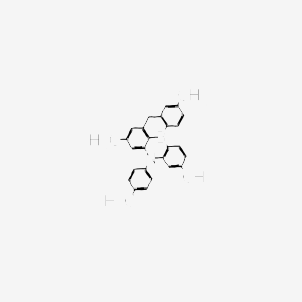 Cc1ccc(N2c3cc(C)ccc3B3c4ccc(C)cc4Cc4cc(C)cc2c43)cc1